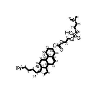 CC(C)CCC[C@@H](C)[C@H]1CCC2C3CC=C4C[C@@H](OC(=O)OCCOP(=O)(O)OCCN(C)C)CC[C@]4(C)C3CC[C@@]21C